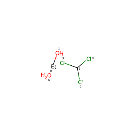 CCO.ClC(Cl)Cl.O